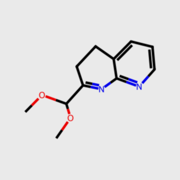 COC(OC)C1=Nc2ncccc2CC1